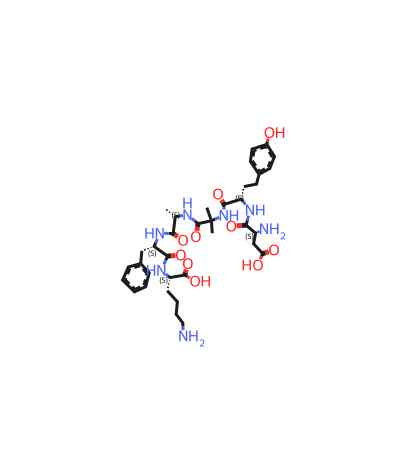 C[C@H](NC(=O)C(C)(C)NC(=O)[C@H](CCc1ccc(O)cc1)NC(=O)[C@@H](N)CC(=O)O)C(=O)N[C@@H](Cc1ccccc1)C(=O)N[C@@H](CCCCN)C(=O)O